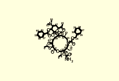 CCSC1C(=O)O[C@H](CC)[C@@](C)(OC(N)=O)[C@H](C)[C@@H](C)N(C(=O)OCc2ccccc2)C[C@H](C)C[C@@](C)(OC)[C@H](O[C@@H]2OC(C(C)=O)CC(N(C)C)C2OC(=O)c2ccccc2)[C@@H](C)C1=O